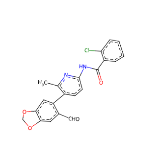 Cc1nc(NC(=O)c2ccccc2Cl)ccc1-c1cc2c(cc1C=O)OCO2